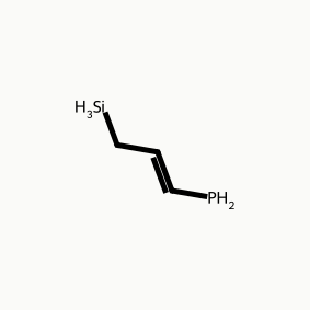 [SiH3]CC=CP